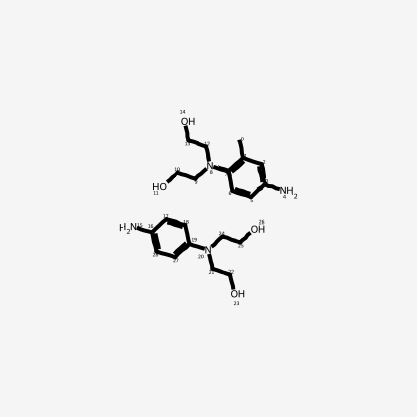 Cc1cc(N)ccc1N(CCO)CCO.Nc1ccc(N(CCO)CCO)cc1